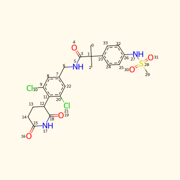 CC(C)(C(=O)NCc1cc(Cl)c(C2CCC(=O)NC2=O)c(Cl)c1)c1ccc(NS(C)(=O)=O)cc1